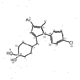 CC(=O)c1cc(CC2CCS(O)(O)CC2)n(-c2ccc(Cl)cc2)c1C